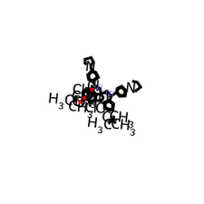 CC(C)(C)Oc1ccc(/C(=C\C2(/C=C(\c3ccc(OC(C)(C)C)cc3)c3ccc(N4CCCC4)cc3)OC(=O)c3c(Cl)c(Cl)c(Cl)c(Cl)c32)c2ccc(N3CCCC3)cc2)cc1